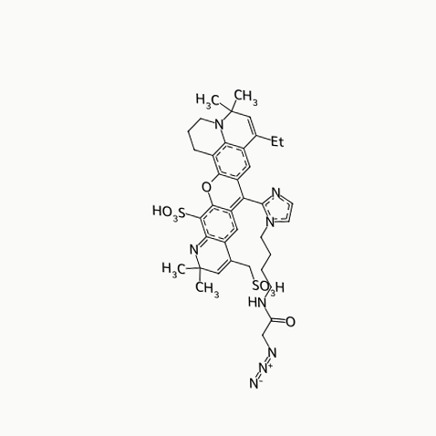 CCC1=CC(C)(C)N2CCCc3c4c(cc1c32)C(c1nccn1CCCCNC(=O)CN=[N+]=[N-])=c1cc2c(c(S(=O)(=O)O)c1O4)=NC(C)(C)C=C2CS(=O)(=O)O